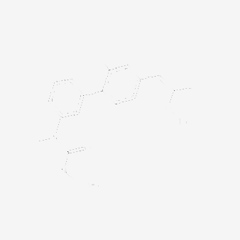 CCCCCCNC(=O)N(C)c1cccc(-c2ccc(C=C(OCC)C(=O)O)cc2F)c1